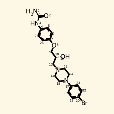 NC(=O)Nc1ccc(OC[C@H](O)CN2CCN(c3ccc(Br)cc3)CC2)cc1